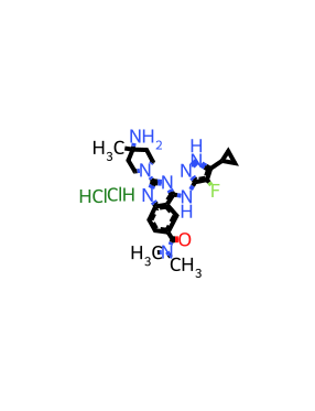 CN(C)C(=O)c1ccc2nc(N3CCC(C)(N)CC3)nc(Nc3n[nH]c(C4CC4)c3F)c2c1.Cl.Cl